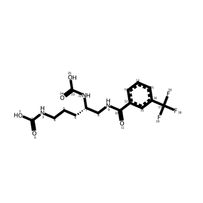 O=C(O)NCCC[C@@H](CNC(=O)c1cccc(C(F)(F)F)c1)NC(=O)O